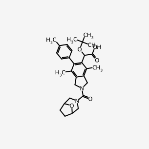 Cc1ccc(-c2c(C)c3c(c(C)c2C(OC(C)(C)C)C(=O)O)CN(C(=O)N2CC4CCC(C2)O4)C3)cc1